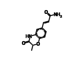 CC1Oc2ccc(C=CC(N)=O)cc2NC1=O